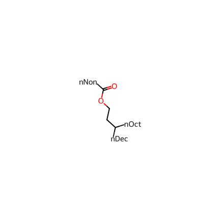 CCCCCCCCCCC(CCCCCCCC)CCOC(=O)CCCCCCCCC